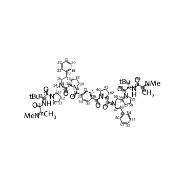 CN[C@@H](C)C(=O)N[C@H](C(=O)N1CCC[C@H]1CN(CCc1ccccc1)C(=O)[C@@H]1CCCN1C(=O)c1ccc(C(=O)N2CCC[C@H]2C(=O)N(CCc2ccccc2)C[C@@H]2CCCN2C(=O)[C@@H](NC(=O)[C@H](C)NC)C(C)(C)C)cc1)C(C)(C)C